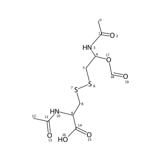 CC(=O)NC(CSSCC(NC(C)=O)C(=O)O)OC=O